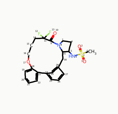 CS(=O)(=O)NC1CCN2C(=O)C(F)(F)CCCOc3ccccc3-c3cccc(c3)CC12